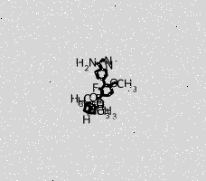 COc1ccc(B2O[C@@]3(C)C[C@H]4C[C@H](C4(C)C)[C@@]3(C)O2)c(F)c1-c1ccc2c(N)cnnc2c1